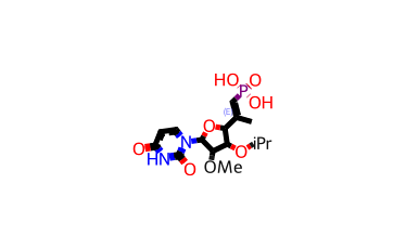 COC1C(OC(C)C)C(/C(C)=C/P(=O)(O)O)OC1n1ccc(=O)[nH]c1=O